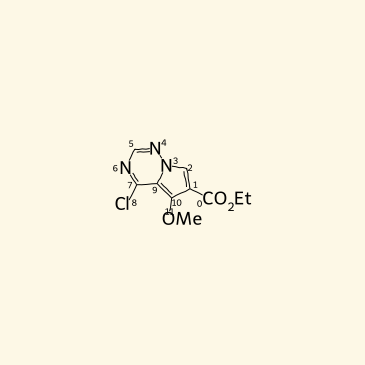 CCOC(=O)c1cn2ncnc(Cl)c2c1OC